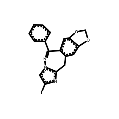 Ic1cn2c(n1)Cc1cc3c(cc1C(c1ccccc1)=N2)OCO3